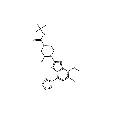 COc1c(Cl)cc(-c2nccs2)c2oc(N3CCN(C(=O)OC(C)(C)C)C[C@@H]3C)nc12